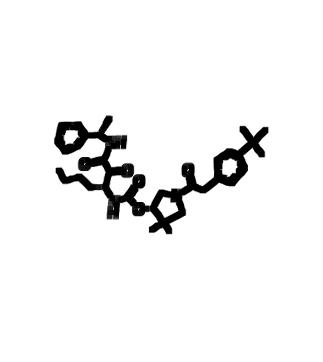 CCCC[C@H](NC(=O)O[C@@H]1CN(C(=O)Cc2ccc(C(C)(C)C)cc2)CC1(C)C)C(=O)C(=O)N[C@H](C)c1ccccc1